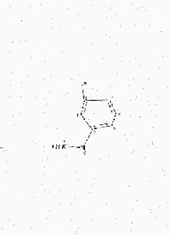 Cc1cccc([N]C=O)c1